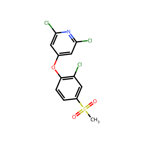 CS(=O)(=O)c1ccc(Oc2cc(Cl)nc(Cl)c2)c(Cl)c1